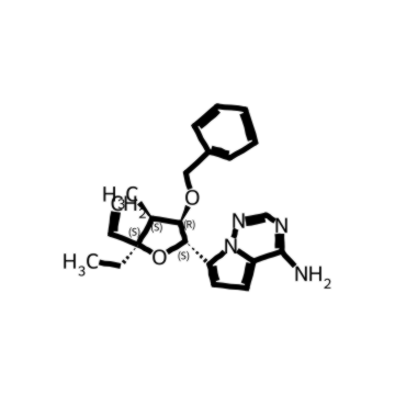 C=C[C@]1(CC)O[C@@H](c2ccc3c(N)ncnn23)[C@H](OCc2ccccc2)[C@@H]1C